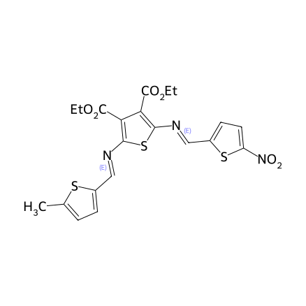 CCOC(=O)c1c(/N=C/c2ccc(C)s2)sc(/N=C/c2ccc([N+](=O)[O-])s2)c1C(=O)OCC